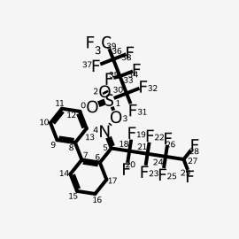 O=S(=O)(ON=C(C1=C(c2ccccc2)C=CCC1)C(F)(F)C(F)(F)C(F)(F)C(F)F)C(F)(F)C(F)(F)C(F)(F)C(F)(F)F